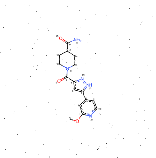 COc1cc(-c2cc(C(=O)N3CCC(C(N)=O)CC3)n[nH]2)ccn1